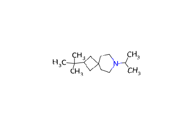 CC(C)N1CCC2(CC1)CC(C(C)(C)C)C2